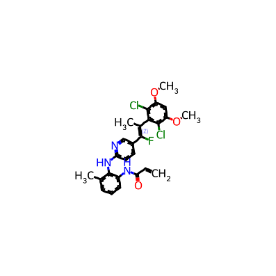 C=CC(=O)Nc1cccc(C)c1Nc1ccc(/C(F)=C(\C)c2c(Cl)c(OC)cc(OC)c2Cl)cn1